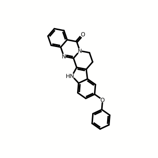 O=c1c2ccccc2nc2n1CCc1c-2[nH]c2ccc(Oc3ccccc3)cc12